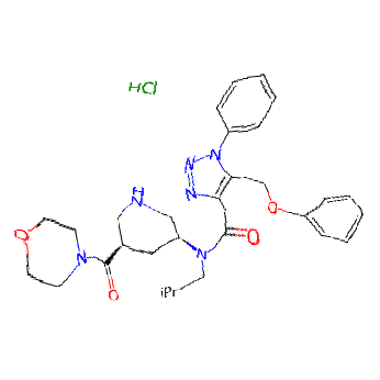 CC(C)CN(C(=O)c1nnn(-c2ccccc2)c1COc1ccccc1)[C@@H]1CNC[C@H](C(=O)N2CCOCC2)C1.Cl